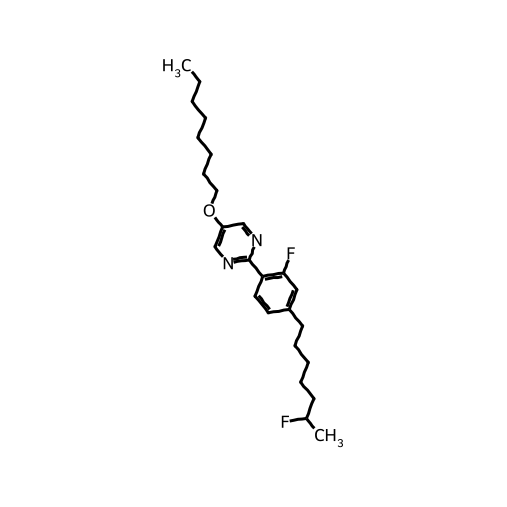 CCCCCCCCOc1cnc(-c2ccc(CCCCCC(C)F)cc2F)nc1